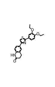 CCOc1ccc(-c2nc(-c3ccc4c(c3)CCC(=O)N4)cs2)cc1OCC